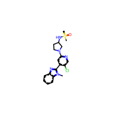 C=S(C)(=O)NC1CCN(c2cc(-c3nc4ccccc4n3C)c(Cl)cn2)C1